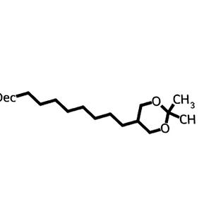 CCCCCCCCCCCCCCCCCCC1COC(C)(C)OC1